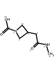 CNC(=O)CC1CN(C(=O)O)C1